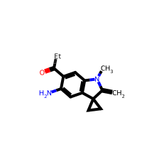 C=C1N(C)c2cc(C(=O)CC)c(N)cc2C12CC2